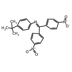 CC(C)(C)c1ccc(N=C(c2ccc([N+](=O)[O-])cc2)c2ccc([N+](=O)[O-])cc2)cc1